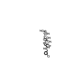 Cc1nc(NCc2cccc(Cl)c2)c2cnn([C@@H]3O[C@H](COCP(=O)(O)O)[C@@H](O)[C@H]3O)c2n1